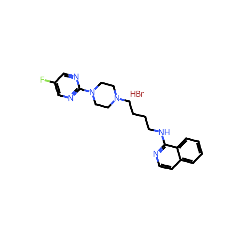 Br.Fc1cnc(N2CCN(CCCCNc3nccc4ccccc34)CC2)nc1